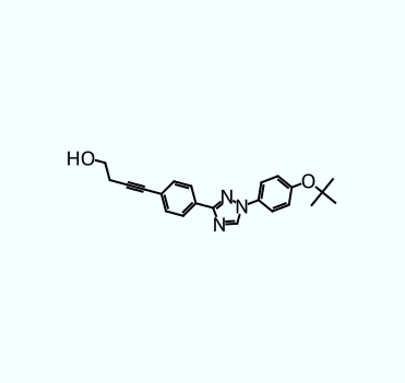 CC(C)(C)Oc1ccc(-n2cnc(-c3ccc(C#CCCO)cc3)n2)cc1